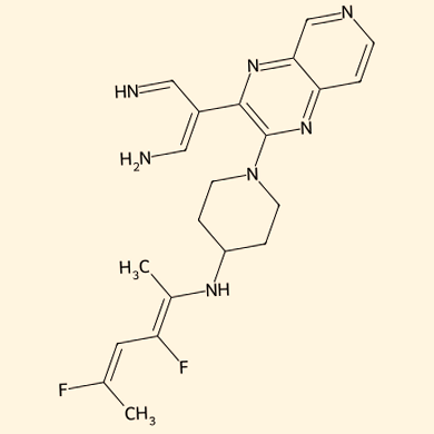 C/C(NC1CCN(c2nc3ccncc3nc2/C(C=N)=C/N)CC1)=C(F)\C=C(/C)F